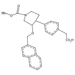 CC(C)(C)OC(=O)N1CCC(c2ccc(CC(=O)O)cc2)C(OCc2ccc3ccccc3c2)C1